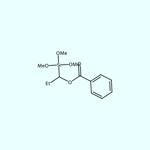 CCC(OC(=O)c1ccccc1)[Si](OC)(OC)OC